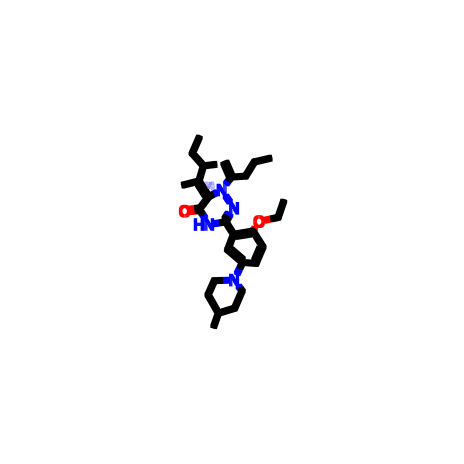 C=C(CCC)N1N=C(c2cc(N3CCC(C)CC3)ccc2OCC)NC(=O)/C1=C(\C)C(C)CC